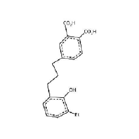 CCc1cccc(CCCc2ccc(C(=O)O)c(C(=O)O)c2)c1O